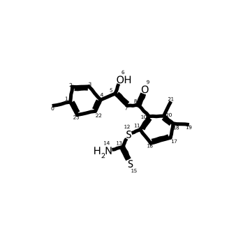 Cc1ccc(C(O)=CC(=O)c2c(SC(N)=S)ccc(C)c2C)cc1